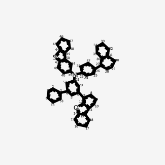 c1ccc(-c2cc(-c3cccc4c3oc3ccccc34)cc(N(c3ccc(-c4cccc5ccccc45)cc3)c3ccc4sc5ccccc5c4c3)c2)cc1